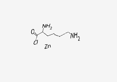 NCCCCC(N)C(=O)Cl.[Zn]